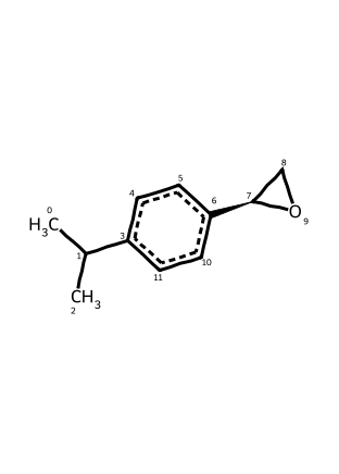 CC(C)c1ccc([C@H]2CO2)cc1